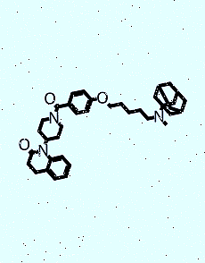 CN(CCCCCOc1ccc(C(=O)N2CCC(N3C(=O)CCc4ccccc43)CC2)cc1)C12CC3CC(CC(C3)C1)C2